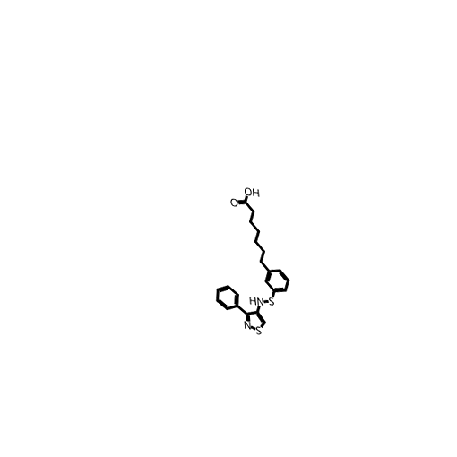 O=C(O)CCCCCCc1cccc(SNc2csnc2-c2ccccc2)c1